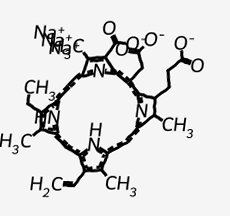 C=Cc1c(C)c2cc3nc(c(CC(=O)[O-])c4nc(cc5[nH]c(cc1[nH]2)c(C)c5CC)C(C)=C4C(=O)[O-])C(CCC(=O)[O-])C3C.[Na+].[Na+].[Na+]